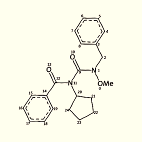 CON(Cc1ccccc1)C(=O)N(C(=O)c1ccccc1)C1CCCC1